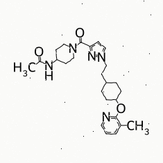 CC(=O)NC1CCN(C(=O)c2ccn(CCC3CCC(Oc4ncccc4C)CC3)n2)CC1